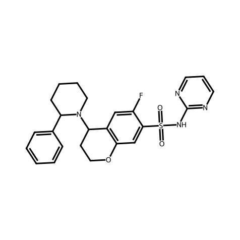 O=S(=O)(Nc1ncccn1)c1cc2c(cc1F)C(N1CCCCC1c1ccccc1)CCO2